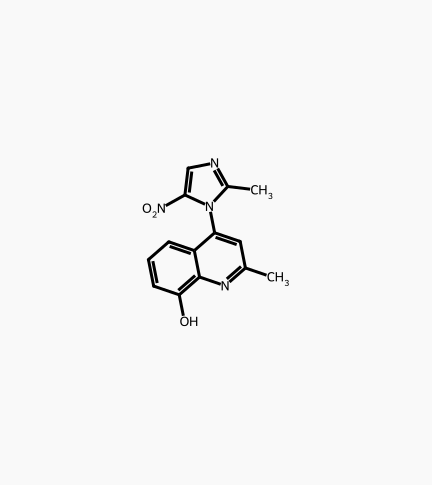 Cc1cc(-n2c([N+](=O)[O-])cnc2C)c2cccc(O)c2n1